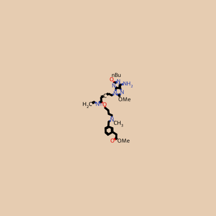 C=C/N=C(\C=C=CCn1c(OC)nc2c(N)nc(OCCCC)nc21)OCCCCN(C)Cc1cccc(CC(=O)OC)c1